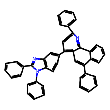 c1ccc(-c2cc(-c3ccc4c(c3)nc(-c3ccccc3)n4-c3ccccc3)c3cc(-c4ccccc4)c4ccccc4c3n2)cc1